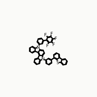 Fc1c(F)c(F)c(-c2cccc(-n3c4ccccc4c4c5c6ccccc6n(-c6cccc(-c7cccc8c7sc7ccccc78)c6)c5ccc43)c2)c(F)c1F